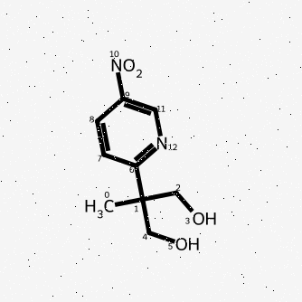 CC(CO)(CO)c1ccc([N+](=O)[O-])cn1